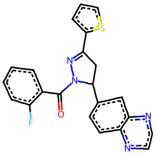 O=C(c1ccccc1F)N1N=C(c2cccs2)CC1c1ccc2nccnc2c1